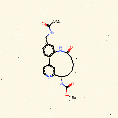 COC(=O)NCc1ccc2c(c1)NC(=O)CCCC[C@H](NC(=O)OC(C)(C)C)c1cc-2ccn1